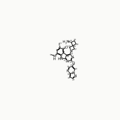 CNc1cc(F)c(Cl)c2c1[nH]c1nc(Oc3cnc4ccnn4c3)nc(N3CC4(CC[C@@H]4N)C3)c12